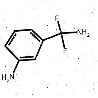 Nc1cccc(C(N)(F)F)c1